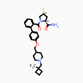 NC(=O)[C@@H]1C[C@H](F)CN1C(=O)c1ccccc1-c1ccc(OCC2CCN(CC3(C(F)(F)F)CCC3)CC2)cc1